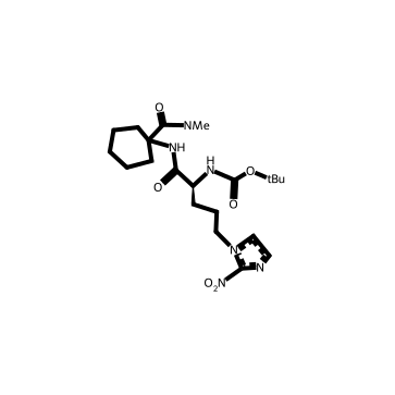 CNC(=O)C1(NC(=O)[C@H](CCCn2ccnc2[N+](=O)[O-])NC(=O)OC(C)(C)C)CCCCC1